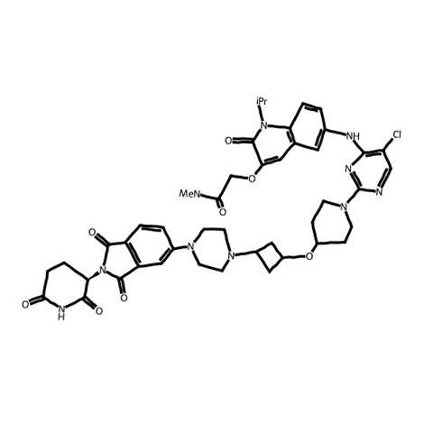 CNC(=O)COc1cc2cc(Nc3nc(N4CCC(OC5CC(N6CCN(c7ccc8c(c7)C(=O)N([C@@H]7CCC(=O)NC7=O)C8=O)CC6)C5)CC4)ncc3Cl)ccc2n(C(C)C)c1=O